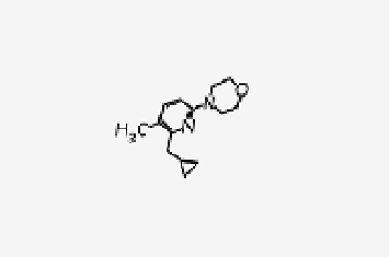 Cc1ccc(N2CCOCC2)nc1CC1CC1